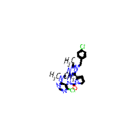 Cc1nnc([C@H]2CCCN2C(=O)Nc2c(Cl)ncnc2N(C)C)n1Cc1ccc(Cl)cc1